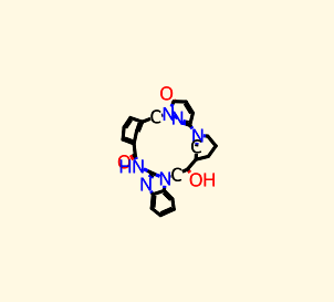 O=C1Nc2nc3ccccc3n2CC(O)C2CCCN(C2)c2ccc(=O)n(n2)Cc2cccc1c2